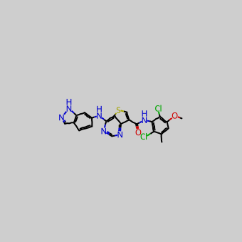 COc1cc(C)c(Cl)c(NC(=O)c2csc3c(Nc4ccc5cn[nH]c5c4)ncnc23)c1Cl